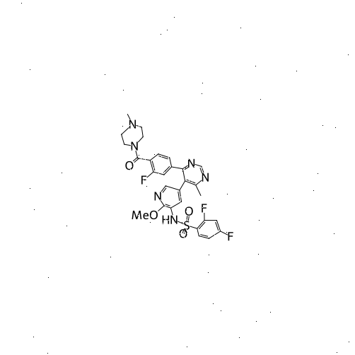 COc1ncc(-c2c(C)ncnc2-c2ccc(C(=O)N3CCN(C)CC3)c(F)c2)cc1NS(=O)(=O)c1ccc(F)cc1F